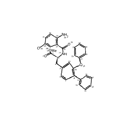 COC(=O)[C@H](Cc1ccc(-c2ccccc2)c(Oc2ccccc2)c1)NC(=O)c1cc(Cl)ccc1N